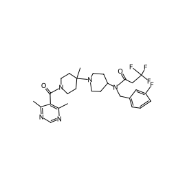 Cc1ncnc(C)c1C(=O)N1CCC(C)(N2CCC(N(Cc3cccc(F)c3)C(=O)CC(F)(F)F)CC2)CC1